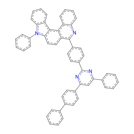 c1ccc(-c2ccc(-c3cc(-c4ccccc4)nc(-c4ccc(-c5nc6ccccc6c6c5ccc5c6c6ccccc6n5-c5ccccc5)cc4)n3)cc2)cc1